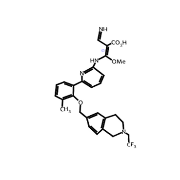 CO/C(Nc1cccc(-c2cccc(C)c2OCc2ccc3c(c2)CCN(CC(F)(F)F)C3)n1)=C(/C=N)C(=O)O